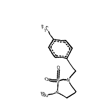 CC(C)(C)N1CCN(Cc2ccc(C(F)(F)F)cc2)S1(=O)=O